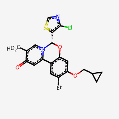 CCc1cc2c(cc1OCC1CC1)O[C@@H](c1scnc1Cl)n1cc(C(=O)O)c(=O)cc1-2